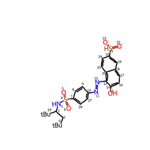 CC(C)(C)CC(NS(=O)(=O)c1ccc(N=Nc2c(O)ccc3cc([SH](=O)=O)ccc23)cc1)C(C)(C)C